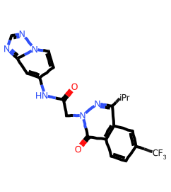 CC(C)c1nn(CC(=O)Nc2ccn3ncnc3c2)c(=O)c2ccc(C(F)(F)F)cc12